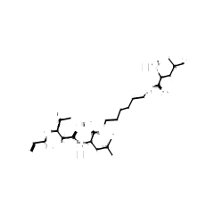 C=CC(=O)OC(C(C)=O)C(Cl)C(=O)NC(CC(C)C)C(=O)OCCCCCCOC(=O)C(CC(C)C)NC